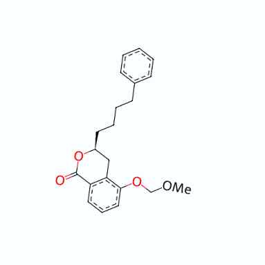 COCOc1cccc2c1C[C@H](CCCCc1ccccc1)OC2=O